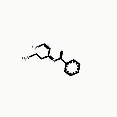 C=C(/N=C(\C=C/N)CCN)c1ccccc1